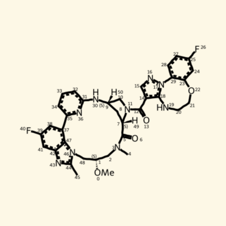 CO[C@H]1CN(C)C(=O)[C@@H]2C[C@@H](CN2C(=O)c2cnn3c2NCCOc2cc(F)ccc2-3)Nc2cccc(n2)-c2cc(F)cc3nc(C)n(c23)C1